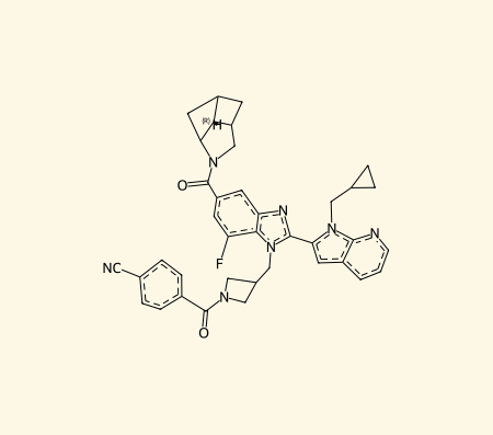 N#Cc1ccc(C(=O)N2CC(Cn3c(-c4cc5cccnc5n4CC4CC4)nc4cc(C(=O)N5CC6CC7CC5[C@H]76)cc(F)c43)C2)cc1